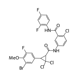 COc1c(F)cc(C2C(C(=O)Nc3ccc(Cl)c(C(=O)Nc4ccc(F)cc4F)c3)C2(Cl)Cl)cc1Br